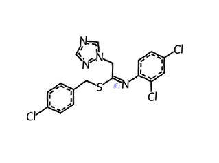 Clc1ccc(CS/C(Cn2cncn2)=N/c2ccc(Cl)cc2Cl)cc1